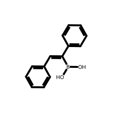 OB(O)/C(=C\c1ccccc1)c1ccccc1